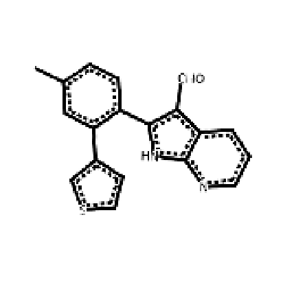 Cc1ccc(-c2[nH]c3ncccc3c2C=O)c(-c2ccsc2)c1